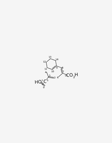 C=C.C=C(C)C(=O)O.CC(=CC1=CCCCC1)C(=O)O